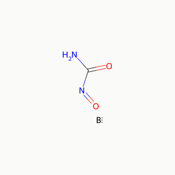 NC(=O)N=O.[B]